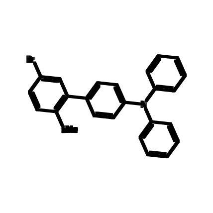 CSc1ccc(Br)cc1-c1ccc(N(c2ccccc2)c2ccccc2)cc1